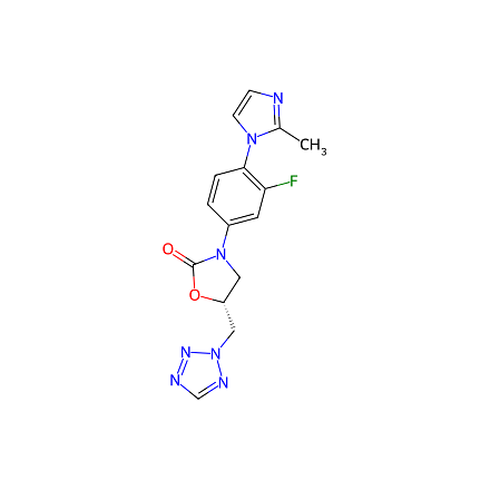 Cc1nccn1-c1ccc(N2C[C@H](Cn3ncnn3)OC2=O)cc1F